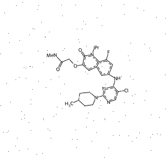 CNC(=O)COc1cc2cc(Nc3nc(N4CCC(C)CC4)ncc3Cl)cc(F)c2n(C(C)C)c1=O